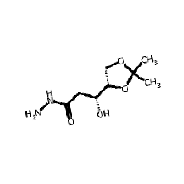 CC1(C)OC[C@@H]([C@H](O)CC(=O)NN)O1